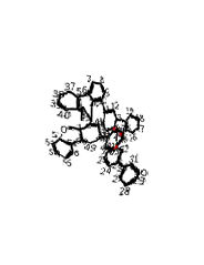 CC1C(n2c3c(c4cccc(C5=CC6C7=C(CCC=C7)N(c7cccc(-c8ccccc8)c7)C6CC5)c42)CCC=C3)=CC(C2C=CC=CC2)CC1c1ccccc1